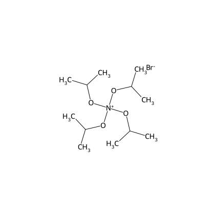 CC(C)O[N+](OC(C)C)(OC(C)C)OC(C)C.[Br-]